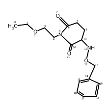 CCOCCN1C(=O)CCC(NOCc2ccccc2)C1=O